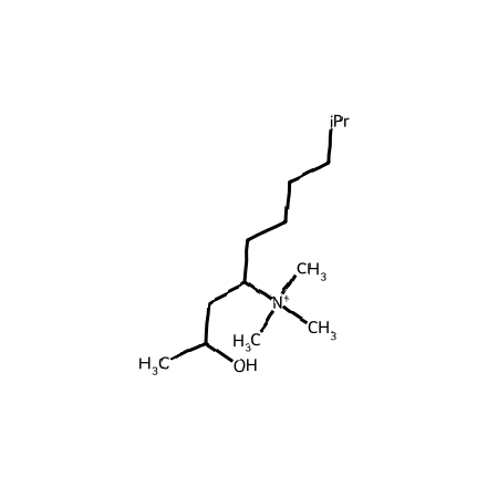 CC(C)CCCCC(CC(C)O)[N+](C)(C)C